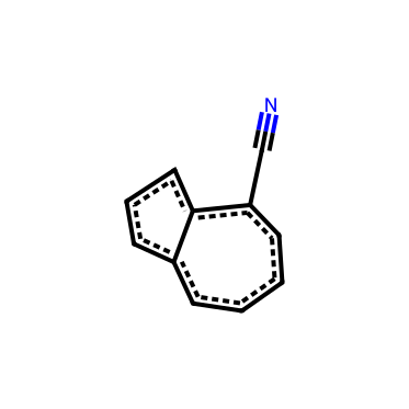 N#Cc1ccccc2cccc1-2